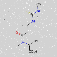 CCCNC(=S)NCCC(=O)N(C)[C@H](C(=O)O)C(C)C